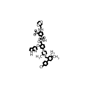 C[C@@H]1CN(c2ccc(C(=O)NS(=O)(=O)c3ccc(NCC4COCCO4)c([N+](=O)[O-])c3)c(Oc3cnc4[nH]ccc4c3)c2)CCN1CC1=C(c2ccc(Cl)cc2)CCC(C)(C)C1